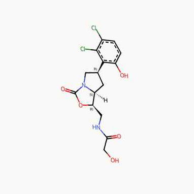 O=C(CO)NC[C@H]1OC(=O)N2C[C@@H](c3c(O)ccc(Cl)c3Cl)C[C@@H]12